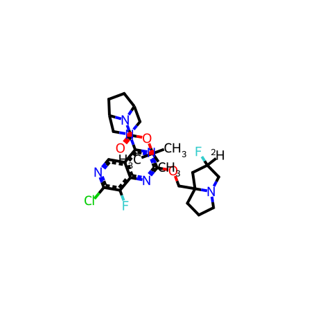 [2H]C1(F)CN2CCCC2(COc2nc(N3CC4CCC(C3)N4C(=O)OC(C)(C)C)c3cnc(Cl)c(F)c3n2)C1